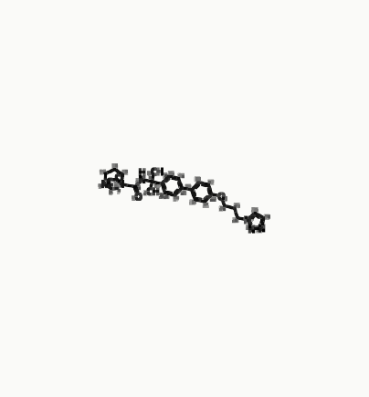 CC(C)(NC(=O)N1CCN2CCC1CC2)c1ccc(-c2ccc(OCCCn3ccnn3)cc2)cc1